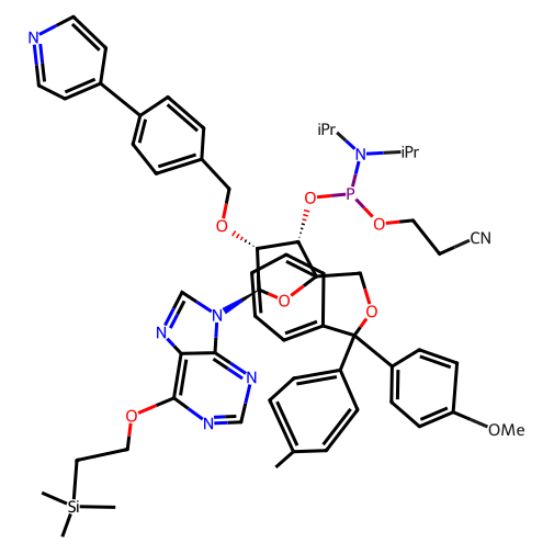 COc1ccc(C(OCC2O[C@@H](n3cnc4c(OCC[Si](C)(C)C)ncnc43)[C@H](OCc3ccc(-c4ccncc4)cc3)[C@@H]2OP(OCCC#N)N(C(C)C)C(C)C)(c2ccccc2)c2ccc(C)cc2)cc1